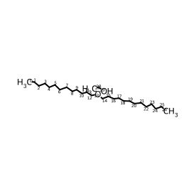 CCCCCCCCCCCCCOCCCCCCCCCCCCC.CCO